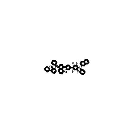 Fc1c(F)c(N(c2ccccc2)c2ccc3ccccc3c2)c(F)c(F)c1-c1ccc2c(c1)Sc1cccc3c(N(c4ccccc4)c4cccc5c4oc4ccccc45)ccc-2c13